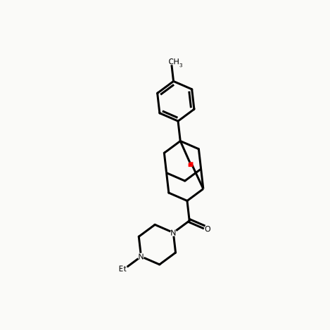 CCN1CCN(C(=O)C2CC3CC4CC(c5ccc(C)cc5)(CCC42)C3)CC1